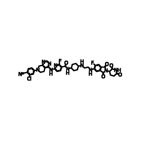 N#Cc1ccc(N2CCc3c(ncnc3Nc3ccc(C(=O)NC4CCC(NCCNc5cc6c(cc5F)C(=O)N(C5CCC(=O)NC5=O)C6=O)CC4)c(F)n3)C2)cc1Cl